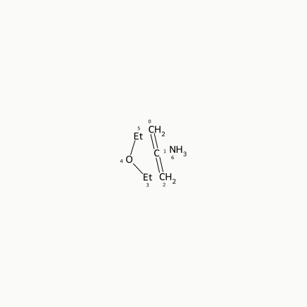 C=C=C.CCOCC.N